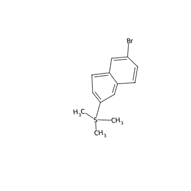 CS(C)(C)c1ccc2cc(Br)ccc2c1